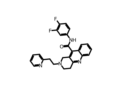 O=C(Nc1ccc(F)c(F)c1)c1c2c(nc3ccccc13)CCN(CCc1ccccn1)C2